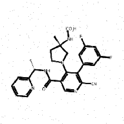 C[C@H](NC(=O)c1cnc(C#N)c(-c2cc(F)cc(F)c2)c1N1CC[C@](C)(NC(=O)O)C1)c1ccccn1